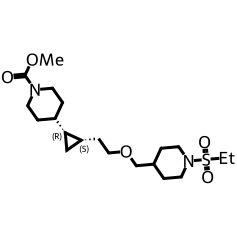 CCS(=O)(=O)N1CCC(COCC[C@@H]2C[C@@H]2C2CCN(C(=O)OC)CC2)CC1